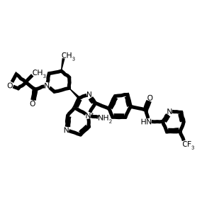 C[C@H]1C[C@@H](C2=C3C=NC=C[N+]3(N)C(c3ccc(C(=O)Nc4cc(C(F)(F)F)ccn4)cc3)=N2)CN(C(=O)C2(C)COC2)C1